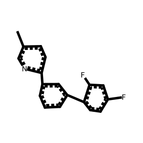 Cc1ccc(-c2cccc(-c3ccc(F)cc3F)c2)nc1